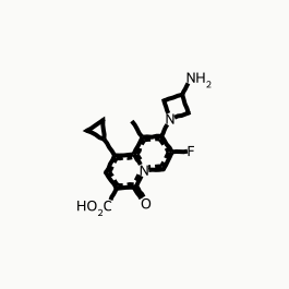 Cc1c(N2CC(N)C2)c(F)cn2c(=O)c(C(=O)O)cc(C3CC3)c12